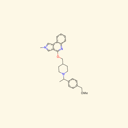 COCc1ccc(C(C)N2CCC(COc3nc4ccccc4c4cn(C)cc34)CC2)cc1